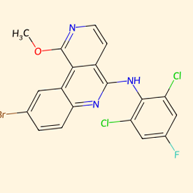 COc1nccc2c(Nc3c(Cl)cc(F)cc3Cl)nc3ccc(Br)cc3c12